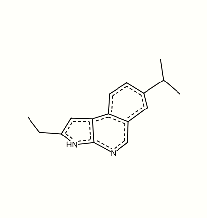 CCc1cc2c(ncc3cc(C(C)C)ccc32)[nH]1